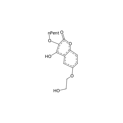 CCCCCOc1c(O)c2cc(OCCO)ccc2oc1=O